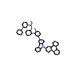 CCC(Cc1ccccc1-c1cc(-c2ccc3c(c2)c2ccccc2n3-c2ccc3c4ccccc4c4ccccc4c3c2)ccc1C)c1cccc(-c2ccccc2)c1